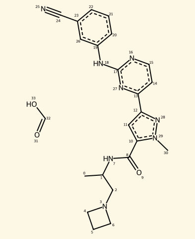 CC(CN1CCC1)NC(=O)c1cc(-c2ccnc(Nc3cccc(C#N)c3)n2)nn1C.O=CO